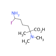 CN(C)C(C)(CCCC(N)I)C(=O)O